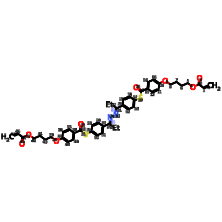 C=CC(=O)OCCCCOc1ccc(C(=O)Sc2ccc(/C(CC)=N/N=C(\CC)c3ccc(SC(=O)c4ccc(OCCCCOC(=O)C=C)cc4)cc3)cc2)cc1